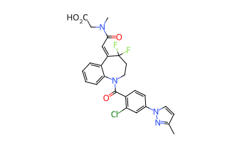 Cc1ccn(-c2ccc(C(=O)N3CCC(F)(F)C(=CC(=O)N(C)CC(=O)O)c4ccccc43)c(Cl)c2)n1